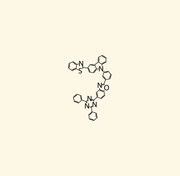 c1ccc(-c2nc(-c3ccccc3)nc(-c3ccc4oc(-c5cccc(-n6c7ccccc7c7cc(-c8nc9ccccc9s8)ccc76)c5)nc4c3)n2)cc1